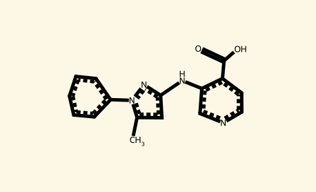 Cc1cc(Nc2cnccc2C(=O)O)nn1-c1ccccc1